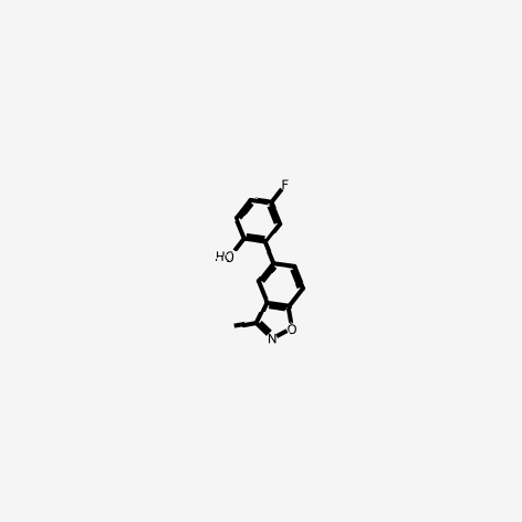 Cc1noc2ccc(-c3cc(F)ccc3O)cc12